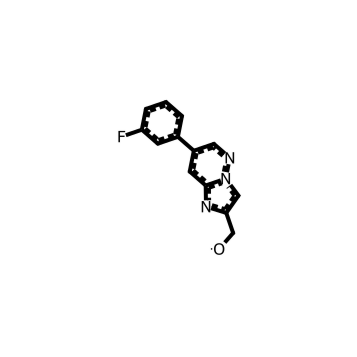 [O]Cc1cn2ncc(-c3cccc(F)c3)cc2n1